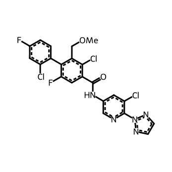 COCc1c(Cl)c(C(=O)Nc2cnc(-n3nccn3)c(Cl)c2)cc(F)c1-c1ccc(F)cc1Cl